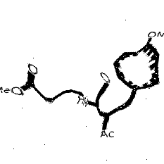 COC(=O)CCNC(=O)C(Cc1ccc(OC)cc1)C(C)=O